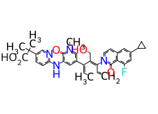 C=C/C(=C(CO)\C(=C/C)c1cc(Nc2ccc(C(C)(C)C(=O)O)cn2)c(=O)n(C)c1)n1ccc2cc(C3CC3)cc(F)c2c1=O